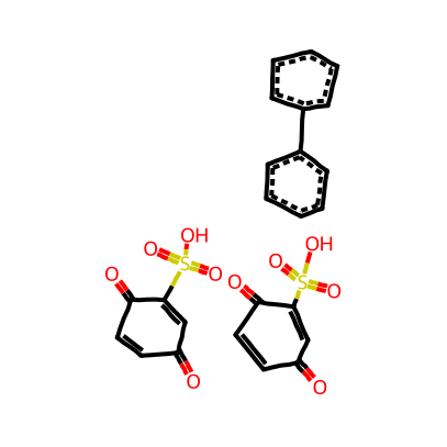 O=C1C=CC(=O)C(S(=O)(=O)O)=C1.O=C1C=CC(=O)C(S(=O)(=O)O)=C1.c1ccc(-c2ccccc2)cc1